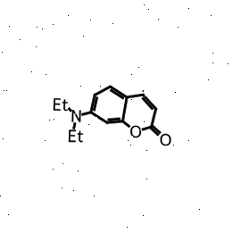 CCN(CC)c1ccc2[c]cc(=O)oc2c1